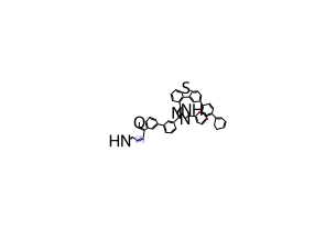 N=C/C=C\c1coc2ccc(-c3cccc(C4=NC(c5ccccc5)NC(c5cccc6sc7ccc(-c8ccc(C9=CC=CCC9)cc8)cc7c56)=N4)c3)cc12